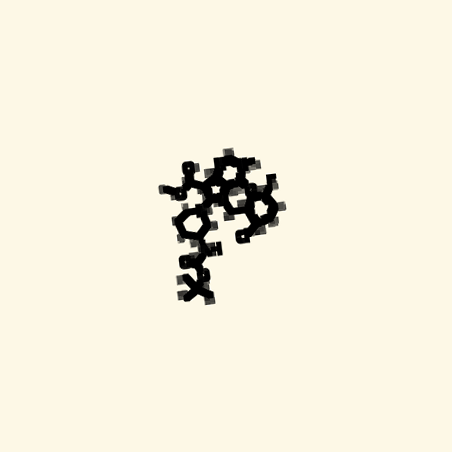 COC(=O)c1c(N2CCC[C@@H](NC(=O)OC(C)(C)C)C2)n(Cc2cc(F)ccc2Cl)c2c(=O)n(C)cnc12